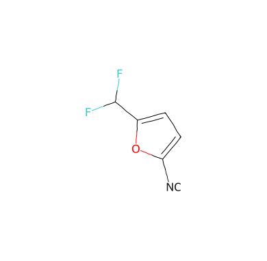 [C-]#[N+]c1ccc(C(F)F)o1